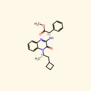 COC(=O)[C@@H](Nc1nc2ccccc2n([C@@H](C)CC2CCC2)c1=O)c1ccccc1